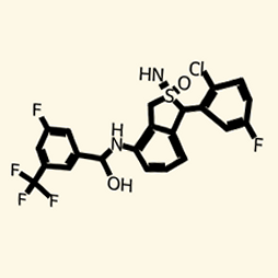 N=S1(=O)Cc2c(NC(O)c3cc(F)cc(C(F)(F)F)c3)cccc2C1c1cc(F)ccc1Cl